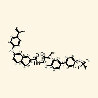 C=C(C)c1ccc(Oc2ccc3cnc(C(=O)N[C@@H](Cc4ccc(-c5ccc(OC(F)(F)F)cc5)cc4)C(=O)OC)cc3c2)cc1